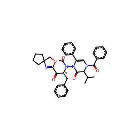 CC(=O)N([C@@H](Cc1ccccc1)C(=O)C1=NC2(CCCC2)CO1)N1C(=O)C(C(C)C)N(C(=O)c2ccccc2)C=C1c1ccccc1